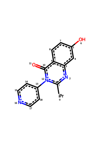 CC(C)c1nc2cc(O)ccc2c(=O)n1-c1ccncc1